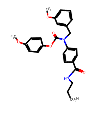 O=C(O)CCNC(=O)c1ccc(N(Cc2cccc(OC(F)(F)F)c2)C(=O)Oc2ccc(OC(F)(F)F)cc2)cc1